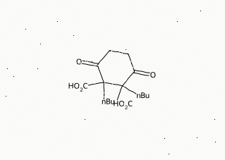 CCCCC1(C(=O)O)C(=O)CCC(=O)C1(CCCC)C(=O)O